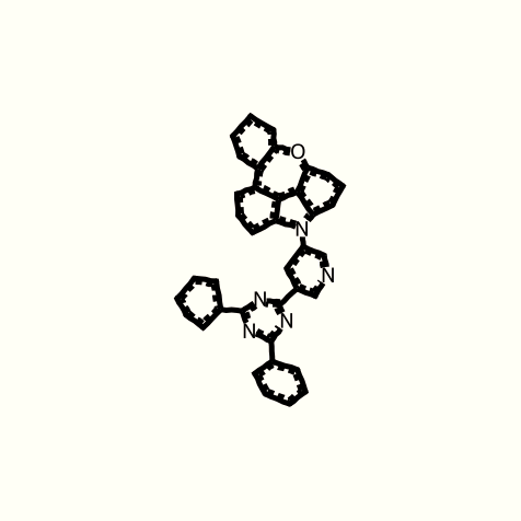 c1ccc(-c2nc(-c3ccccc3)nc(-c3cncc(-n4c5cccc6oc7ccccc7c7cccc4c7c65)c3)n2)cc1